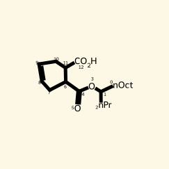 CCCCCCCCC(CCC)OC(=O)C1CC=CCC1C(=O)O